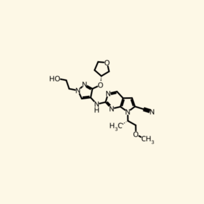 COC[C@H](C)n1c(C#N)cc2cnc(Nc3cn(CCO)nc3O[C@@H]3CCOC3)nc21